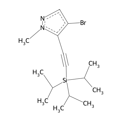 CC(C)[Si](C#Cc1c(Br)cnn1C)(C(C)C)C(C)C